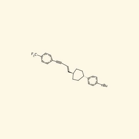 CCCCc1ccc([C@H]2CC[C@H](/C=C/C#Cc3ccc(C(F)(F)F)cc3)CC2)cc1